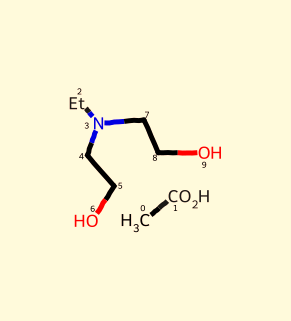 CC(=O)O.CCN(CCO)CCO